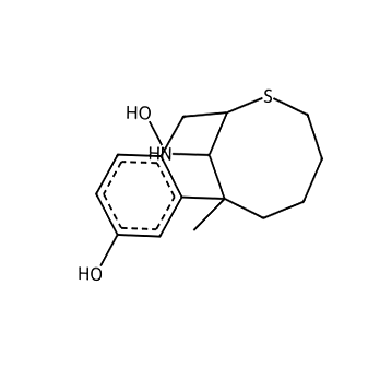 CC12CCCCSC(Cc3ccc(O)cc31)C2NO